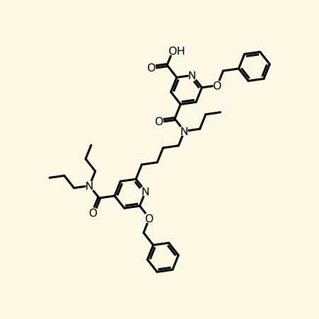 CCCN(CCC)C(=O)c1cc(CCCCN(CCC)C(=O)c2cc(OCc3ccccc3)nc(C(=O)O)c2)nc(OCc2ccccc2)c1